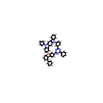 c1ccc(-c2nc(-c3cccc(-n4c5ccccc5c5cc6c(cc54)c4ccccc4n6-c4ccccc4)c3)nc(-c3ccc4c(c3)oc3cccc(-c5ccccc5)c34)n2)cc1